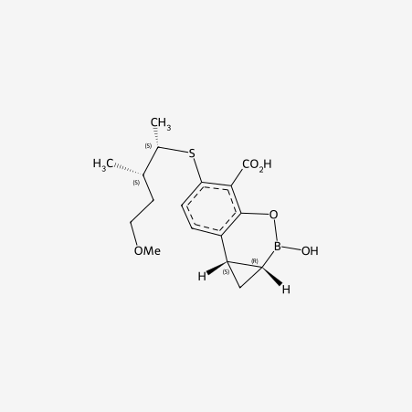 COCC[C@H](C)[C@H](C)Sc1ccc2c(c1C(=O)O)OB(O)[C@@H]1C[C@H]21